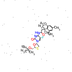 CC(=O)Oc1cc(C)cc(C)c1C(C)(C)CC(=O)Nc1nc(=O)n([C@@H]2CS[C@H](CO[Si](C)(C)C(C)(C)C)O2)cc1F